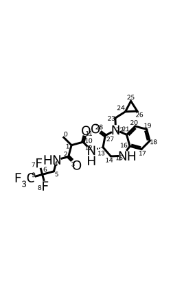 CC(C(=O)NCC(F)(F)C(F)(F)F)C(=O)N[C@H]1CNc2ccccc2N(CC2CC2)C1=O